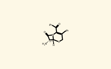 CC(C)C(=O)C1=C(C(C)C)CS[C@@H]2[C@H](N)C(=O)N12